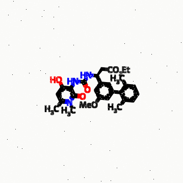 CCOC(=O)C[C@H](NC(=O)Nc1c(O)cc(C)n(C)c1=O)c1cc(OC)cc(-c2c(C)cccc2C)c1